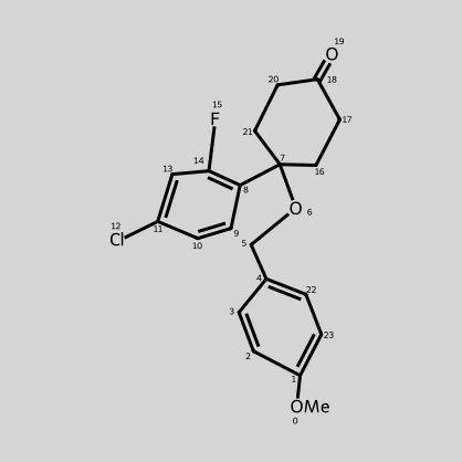 COc1ccc(COC2(c3ccc(Cl)cc3F)CCC(=O)CC2)cc1